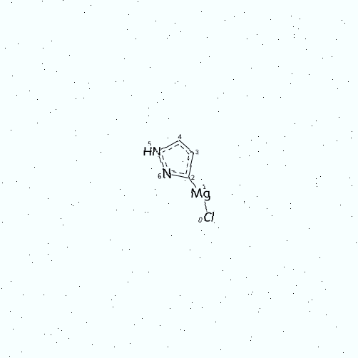 [Cl][Mg][c]1cc[nH]n1